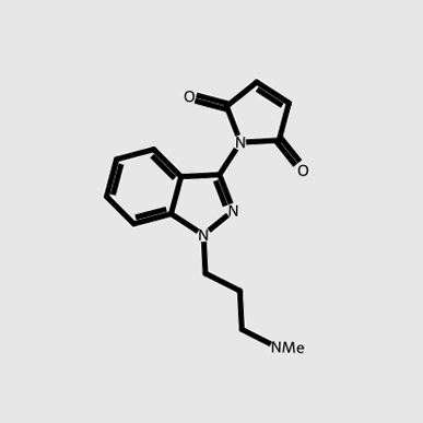 CNCCCn1nc(N2C(=O)C=CC2=O)c2ccccc21